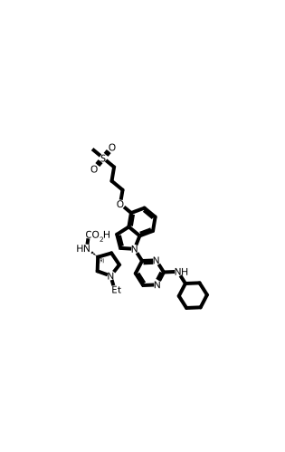 CCN1CC[C@@H](NC(=O)O)C1.CS(=O)(=O)CCCOc1cccc2c1ccn2-c1ccnc(NC2CCCCC2)n1